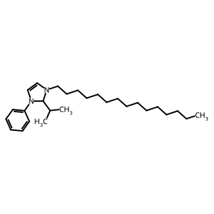 CCCCCCCCCCCCCCCN1C=CN(c2ccccc2)C1C(C)C